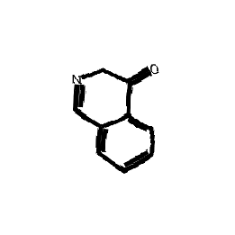 O=C1CN=Cc2ccccc21